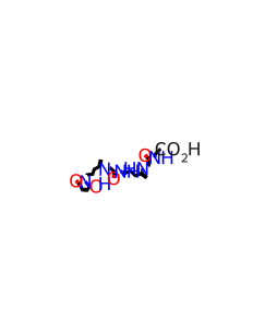 C=C(CCCN1C(=O)C=CC1=O)NCC(=O)NCCCC(=C)NCC(=O)NCC(=O)O